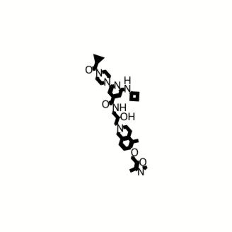 Cc1ncoc1COc1ccc2c(c1C)CCN(C[C@@H](O)CNC(=O)c1cc(NC3CCC3)nc(N3CCN(C(=O)C4CC4)CC3)c1)C2